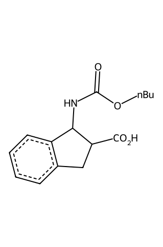 CCCCOC(=O)NC1c2ccccc2CC1C(=O)O